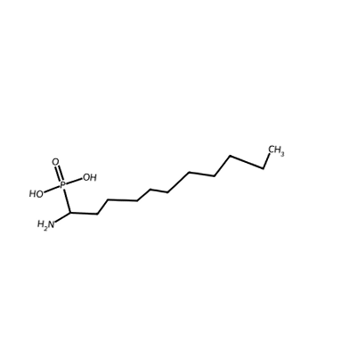 CCCCCCCCCCC(N)P(=O)(O)O